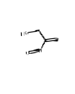 C=C(CS)N=O